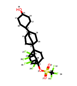 O=S(=O)(OC12CCC(C34CCC(C5CCC(O)CC5)(CC3)CC4)(CC1)C(F)(F)C2(F)F)C(F)(F)F